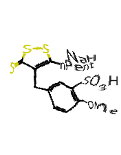 CCCCCc1ssc(=S)c1Cc1ccc(OC)c(S(=O)(=O)O)c1.[NaH]